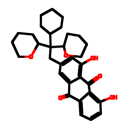 O=C1c2cccc(O)c2C(=O)c2c(O)cc(CC(C3CCCCC3)(C3CCCCO3)C3CCCCO3)cc21